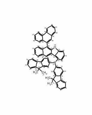 CC1(C)c2ccccc2-c2ccc(N(c3ccc4c(c3)C(C)(C)c3ccccc3-4)c3cccc4oc5c(-c6cc7ccccc7c7ccccc67)c6ccccc6cc5c34)cc21